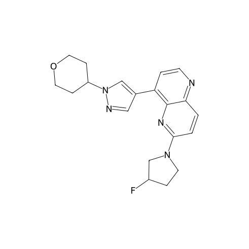 FC1CCN(c2ccc3nccc(-c4cnn(C5CCOCC5)c4)c3n2)C1